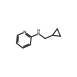 [c]1cccnc1NCC1CC1